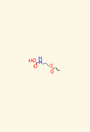 CC=CC(=O)OCCCNC(=O)O